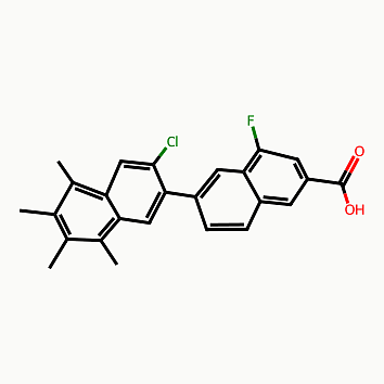 Cc1c(C)c(C)c2cc(-c3ccc4cc(C(=O)O)cc(F)c4c3)c(Cl)cc2c1C